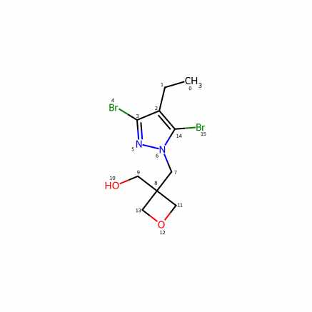 CCc1c(Br)nn(CC2(CO)COC2)c1Br